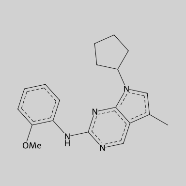 COc1ccccc1Nc1ncc2c(C)cn(C3CCCC3)c2n1